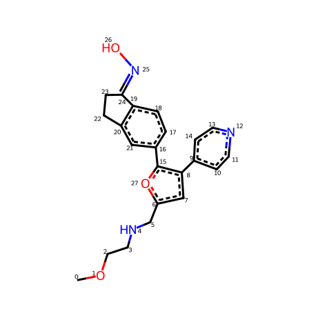 COCCNCc1cc(-c2ccncc2)c(-c2ccc3c(c2)CCC3=NO)o1